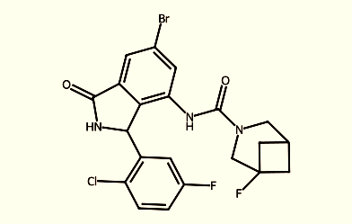 O=C1NC(c2cc(F)ccc2Cl)c2c(NC(=O)N3CC4CC(F)(C4)C3)cc(Br)cc21